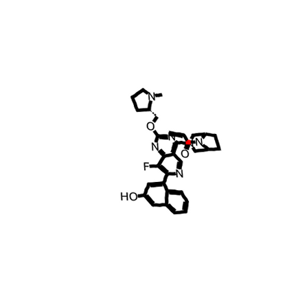 C=CC(=O)N1C2CCC1CN(c1nc(OC[C@@H]3CCCN3C)nc3c(F)c(-c4cc(O)cc5ccccc45)ncc13)C2